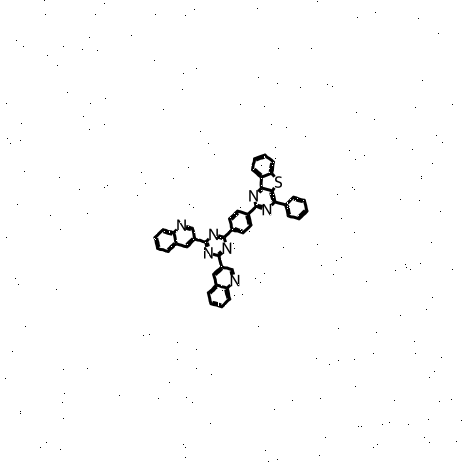 c1ccc(-c2nc(-c3ccc(-c4nc(-c5cnc6ccccc6c5)nc(-c5cnc6ccccc6c5)n4)cc3)nc3c2sc2ccccc23)cc1